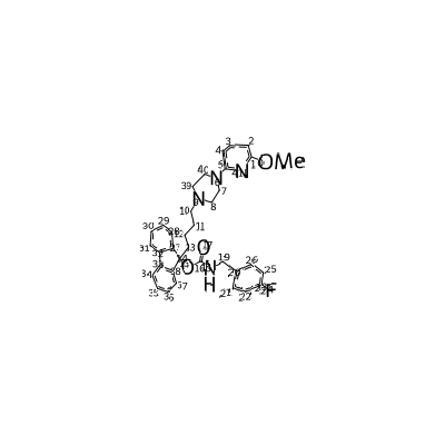 COc1cccc(N2CCN(CCCCC3(OC(=O)NCc4ccc(F)cc4)c4ccccc4-c4ccccc43)CC2)n1